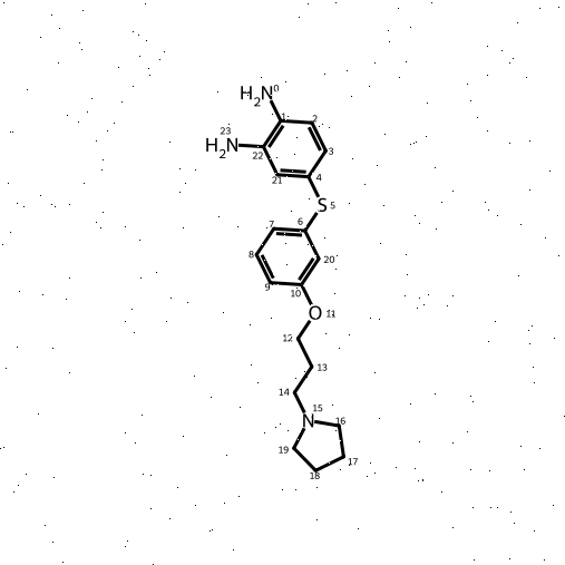 Nc1ccc(Sc2cccc(OCCCN3CCCC3)c2)cc1N